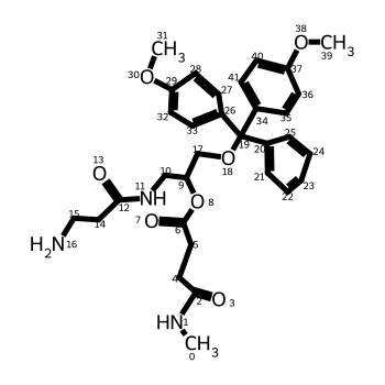 CNC(=O)CCC(=O)OC(CNC(=O)CCN)COC(c1ccccc1)(c1ccc(OC)cc1)c1ccc(OC)cc1